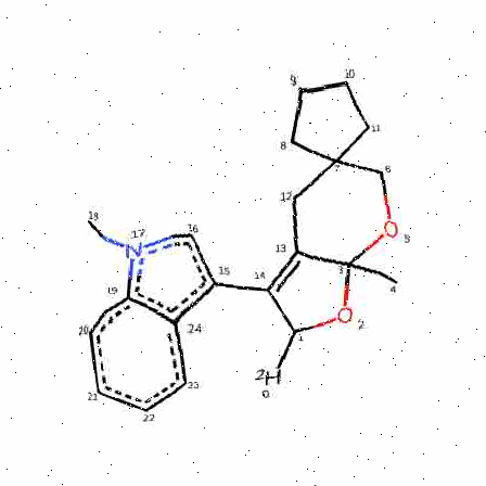 [2H]C1OC2(C)OCC3(CCCC3)CC2=C1c1cn(C)c2ccccc12